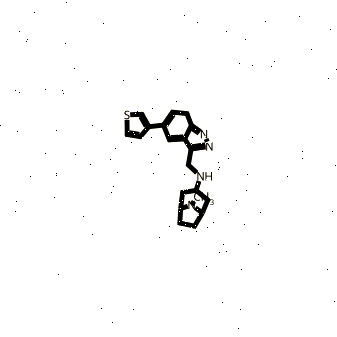 CN1C2CCC1CC(NCC1=NN=C3CC=C(c4ccsc4)C=C31)C2